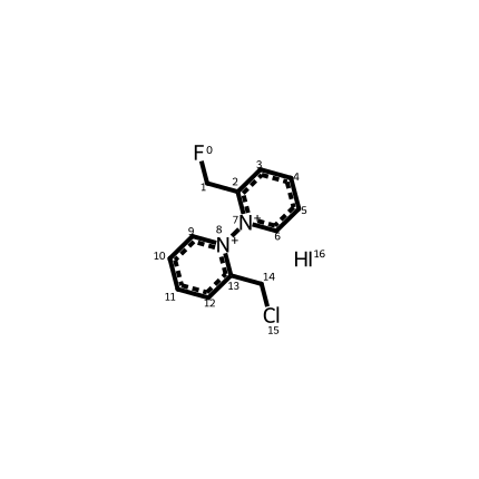 FCc1cccc[n+]1-[n+]1ccccc1CCl.I